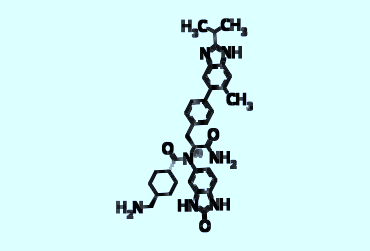 Cc1cc2[nH]c(C(C)C)nc2cc1-c1ccc(C[C@@H](C(N)=O)N(c2ccc3[nH]c(=O)[nH]c3c2)C(=O)[C@H]2CC[C@H](CN)CC2)cc1